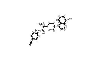 C[C@@H](C(=O)Nc1ccc(C#N)cc1)[C@H]1CC[C@@H](c2ccnc3c(F)cccc32)CC1